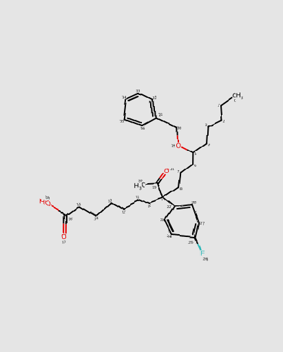 CCCCCC(CCCC(CCCCCCC(=O)O)(C(C)=O)c1ccc(F)cc1)OCc1ccccc1